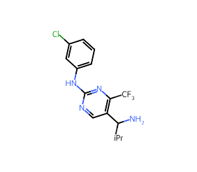 CC(C)C(N)c1cnc(Nc2cccc(Cl)c2)nc1C(F)(F)F